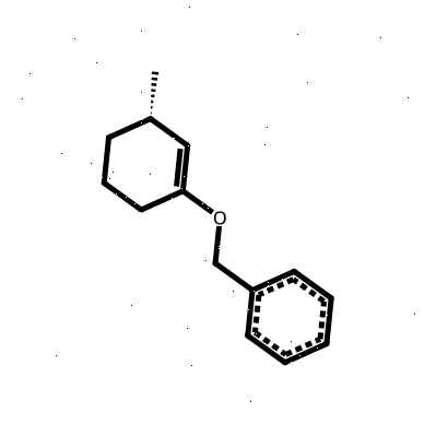 C[C@@H]1C=C(OCc2ccccc2)CCC1